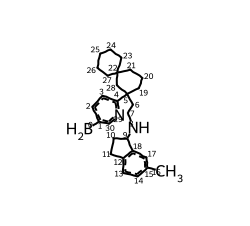 Bc1ccc(C2(CCNC3CCc4ccc(C)cc43)CCCC3(CCCCC3)C2)nc1